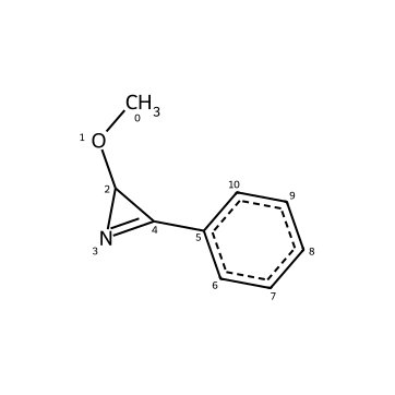 COC1N=C1c1ccccc1